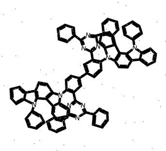 c1ccc(-c2nc(-c3ccccc3)nc(-c3cc(-c4ccc(-n5c6ccccc6c6c5ccc5c7ccccc7n(-c7ccccc7)c56)c(-c5nc(-c6ccccc6)nc(-c6ccccc6)n5)c4)ccc3-n3c4ccccc4c4c3ccc3c5ccccc5n(-c5ccccc5)c34)n2)cc1